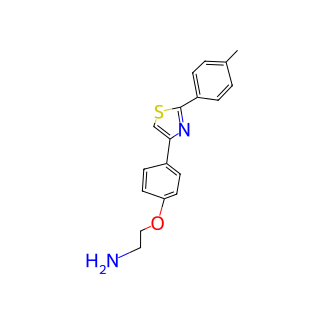 Cc1ccc(-c2nc(-c3ccc(OCCN)cc3)cs2)cc1